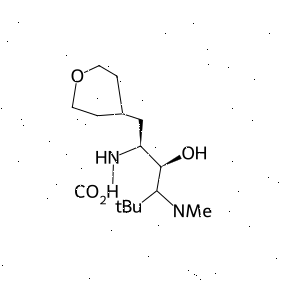 CNC([C@H](O)[C@H](CC1CCOCC1)NC(=O)O)C(C)(C)C